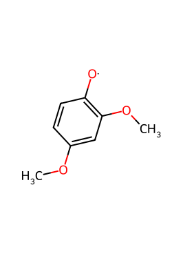 COc1ccc([O])c(OC)c1